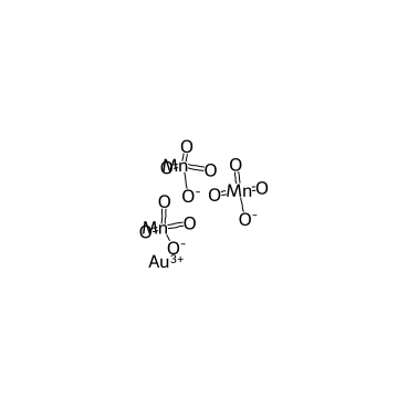 [Au+3].[O]=[Mn](=[O])(=[O])[O-].[O]=[Mn](=[O])(=[O])[O-].[O]=[Mn](=[O])(=[O])[O-]